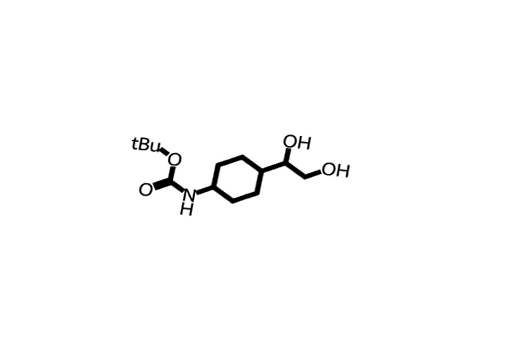 CC(C)(C)OC(=O)NC1CCC(C(O)CO)CC1